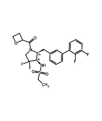 CCS(=O)(=O)N[C@@H]1[C@H](Cc2cccc(-c3cccc(F)c3F)c2)N(C(=O)C2CCO2)CC1(F)F